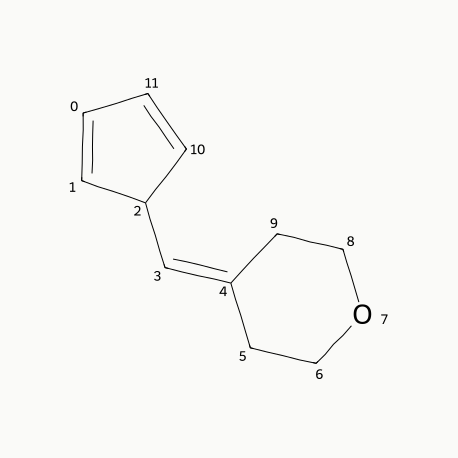 C1=CC(C=C2CCOCC2)C=C1